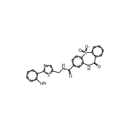 CCCc1ccccc1-c1ncc(CNC(=O)c2ccc3c(c2)NC(=O)c2ccccc2S3(=O)=O)s1